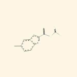 N=C(N)NC(=O)c1cc2cc(Cl)ccc2[nH]1